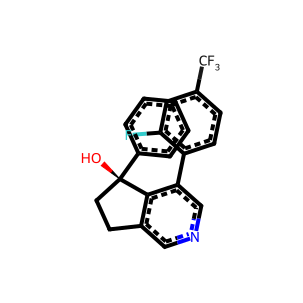 O[C@]1(c2ccccc2)CCc2cncc(-c3ccc(C(F)(F)F)cc3F)c21